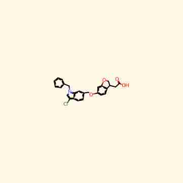 O=C(O)CC1COc2cc(OCc3ccc4c(Cl)cn(Cc5ccccc5)c4c3)ccc21